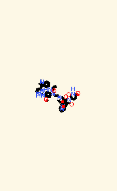 C=CC(=O)Nc1cc(Nc2nccc(-c3cn(C)c4ccccc34)n2)c(OC)cc1N(C)CCN1CCC(CN2CC3CC(C2)N3c2ccc3c(c2)C(=O)N(C2CCC(=O)NC2=O)C3=O)CC1